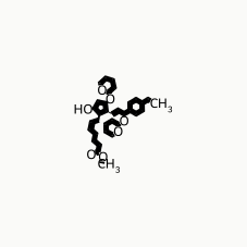 CCC1CCC([C@@H](/C=C/[C@@H]2[C@@H](C/C=C\CCCC(=O)OC)[C@@H](O)C[C@H]2OC2CCCCO2)OC2CCCCO2)CC1